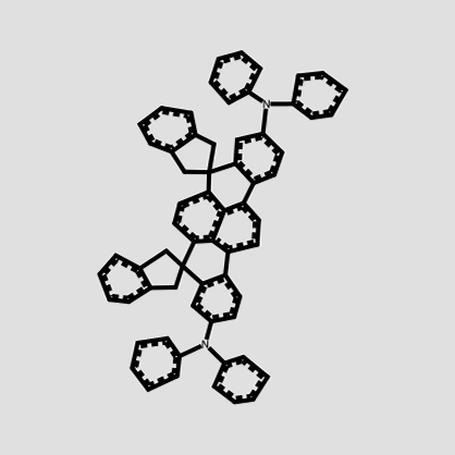 c1ccc(N(c2ccccc2)c2ccc3c(c2)C2(Cc4ccccc4C2)c2ccc4c5c(ccc-3c25)-c2ccc(N(c3ccccc3)c3ccccc3)cc2C42Cc3ccccc3C2)cc1